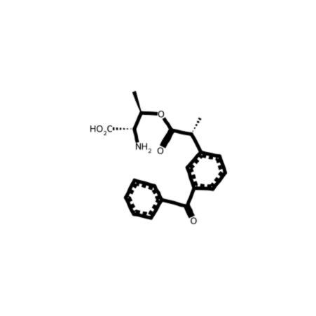 C[C@@H](C(=O)O[C@H](C)[C@H](N)C(=O)O)c1cccc(C(=O)c2ccccc2)c1